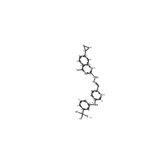 Cc1nc(N/N=C/c2ccc(Nc3cccc(C(F)(F)F)c3)cn2)nc2cc(C3CC3)ccc12